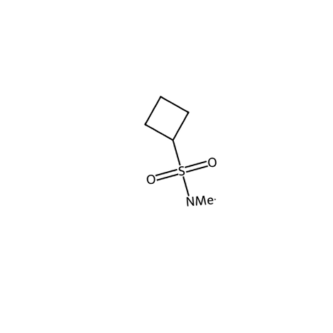 C[N]S(=O)(=O)C1CCC1